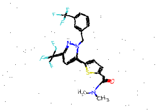 CN(C)C(=O)c1ccc(-c2cc(C(F)(F)F)nn2Cc2cccc(C(F)(F)F)c2)s1